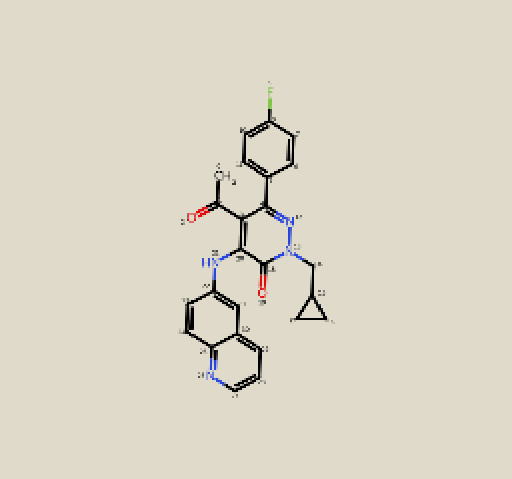 CC(=O)c1c(-c2ccc(F)cc2)nn(CC2CC2)c(=O)c1Nc1ccc2ncccc2c1